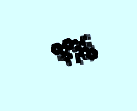 C=C(OCC)N(Cc1ccc(-c2ccccc2-c2noc(=O)[nH]2)cc1)C(=O)/C(Cc1ccccc1)=C(/C)N